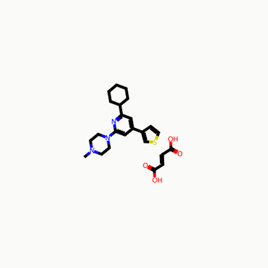 CN1CCN(c2cc(-c3ccsc3)cc(C3CCCCC3)n2)CC1.O=C(O)C=CC(=O)O